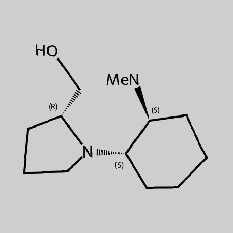 CN[C@H]1CCCC[C@@H]1N1CCC[C@@H]1CO